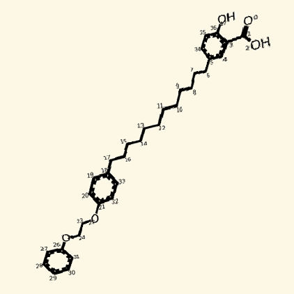 O=C(O)c1cc(CCCCCCCCCCCCc2ccc(OCCOc3ccccc3)cc2)ccc1O